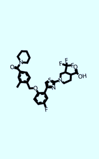 Cc1cc(C(=O)N2CCCCC2)ccc1COc1ccc(F)cc1-c1csc(N2CCC(C(=O)O)C(C(F)(F)F)C2)n1